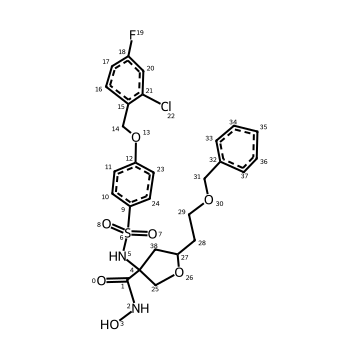 O=C(NO)C1(NS(=O)(=O)c2ccc(OCc3ccc(F)cc3Cl)cc2)COC(CCOCc2ccccc2)C1